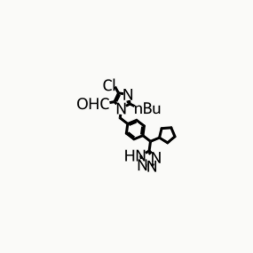 CCCCc1nc(Cl)c(C=O)n1Cc1ccc(C(c2nnn[nH]2)C2CCCC2)cc1